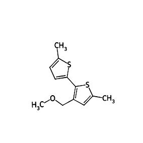 COCc1cc(C)sc1-c1ccc(C)s1